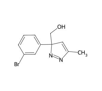 CC1=CC(CO)(c2cccc(Br)c2)N=N1